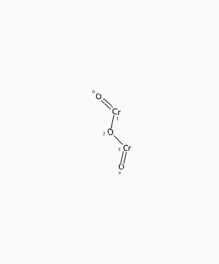 [O]=[Cr][O][Cr]=[O]